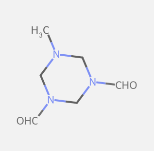 CN1CN(C=O)CN(C=O)C1